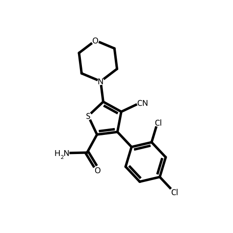 N#Cc1c(N2CCOCC2)sc(C(N)=O)c1-c1ccc(Cl)cc1Cl